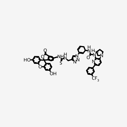 O=C1OC2(c3ccc(O)cc3Oc3cc(O)ccc32)c2ccc(NC(=S)NCc3cn(C4=CC(NC(=O)N5c6nc(-c7cccc(C(F)(F)F)c7)ccc6N6CC[C@H]5C6)CC=C4)nn3)cc21